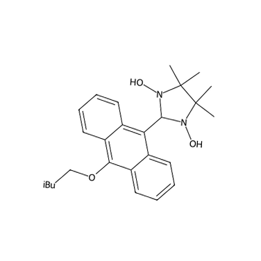 CCC(C)COc1c2ccccc2c(C2N(O)C(C)(C)C(C)(C)N2O)c2ccccc12